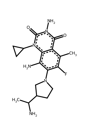 Cc1c(F)c(N2CCC(C(C)N)C2)c(N)c2c1c(=O)n(N)c(=O)n2C1CC1